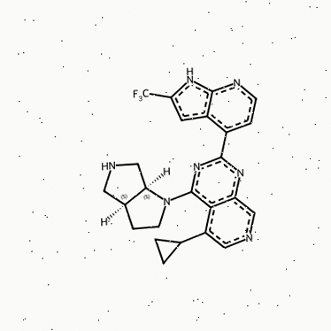 FC(F)(F)c1cc2c(-c3nc(N4CC[C@H]5CNC[C@H]54)c4c(C5CC5)cncc4n3)ccnc2[nH]1